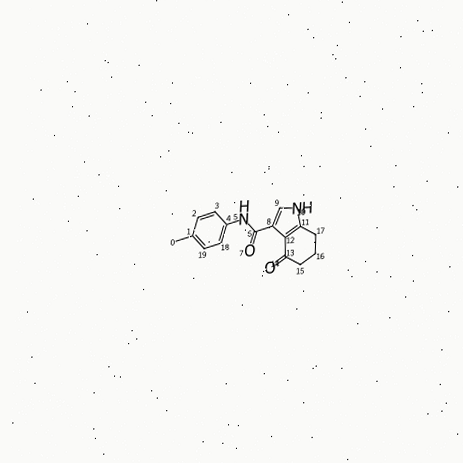 Cc1ccc(NC(=O)c2c[nH]c3c2C(=O)CCC3)cc1